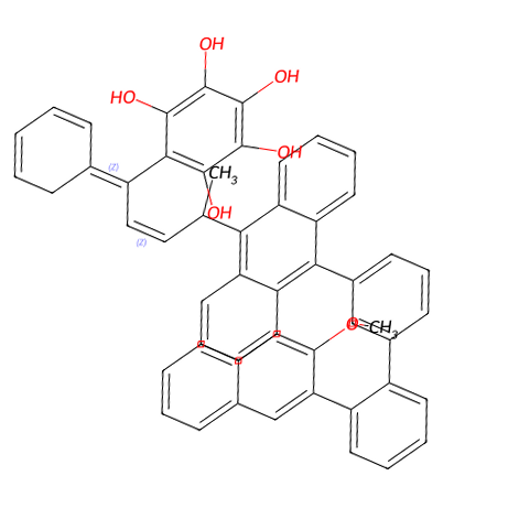 COc1cc2ccccc2cc1-c1ccccc1-c1cccc(-c2c3ccccc3c(C(C)/C=C\C(=C3\C=CC=CC3)c3c(O)c(O)c(O)c(O)c3O)c3ccccc23)c1